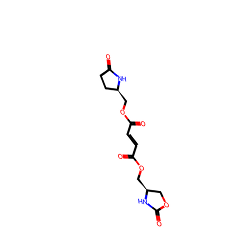 O=C1CC[C@H](COC(=O)/C=C/C(=O)OC[C@H]2COC(=O)N2)N1